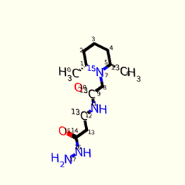 C[C@@H]1CCC[C@H]([13CH3])[15N]1C[13C](=O)N[13CH2]CC(=O)NN